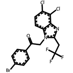 O=C(Cn1c(CC(F)(F)F)nc2c(Cl)c(Cl)ccc21)c1ccc(Br)cc1